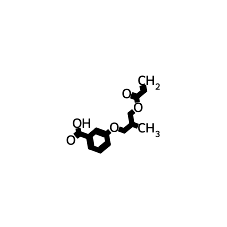 C=CC(=O)OCC(C)COc1cccc(C(=O)O)c1